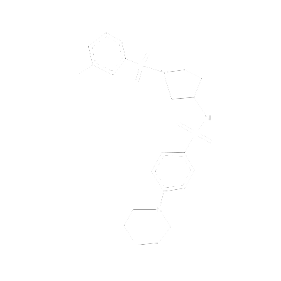 Cc1cccc(S(=O)(=O)N2CCC(NS(=O)(=O)c3ccc(N4CCOCC4)cc3)C2)c1